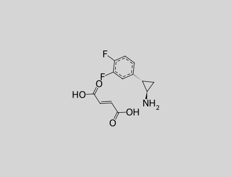 N[C@@H]1C[C@H]1c1ccc(F)c(F)c1.O=C(O)C=CC(=O)O